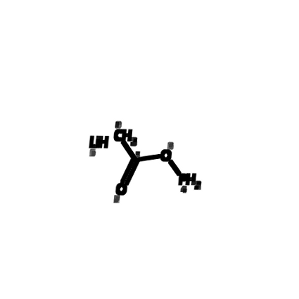 CC(=O)OP.[LiH]